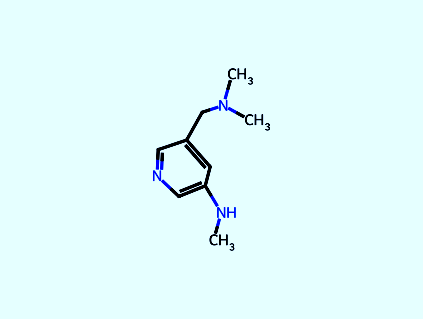 CNc1cncc(CN(C)C)c1